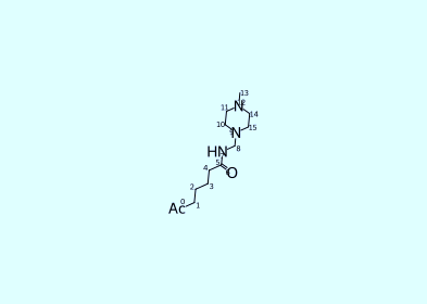 CC(=O)CCCCC(=O)NCN1CCN(C)CC1